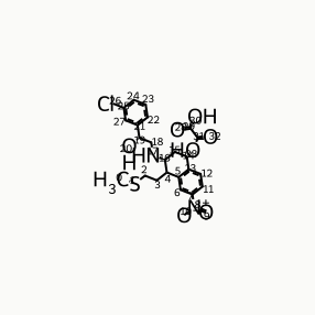 CSCCC1c2cc([N+](=O)[O-])ccc2CC[C@@H]1NC[C@H](O)c1cccc(Cl)c1.O=C(O)C(=O)O